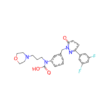 O=C(O)N(CCCN1CCOCC1)c1cccc(Cn2nc(-c3cc(F)cc(F)c3)ccc2=O)c1